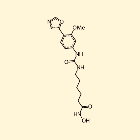 COc1cc(NC(=O)NCCCCCC(=O)NO)ccc1-c1cnco1